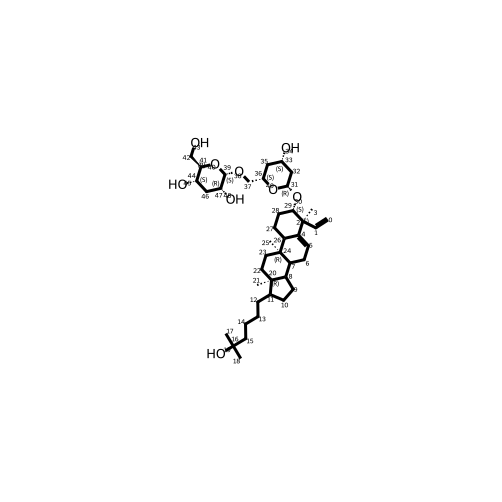 C=C[C@@]1(C)C2=CCC3C4CCC(CCCCC(C)(C)O)[C@@]4(C)CC[C@@]3(C)C2CC[C@@H]1O[C@H]1C[C@@H](O)C[C@@H](CO[C@H]2O[C@H](CO)[C@@H](O)C[C@H]2O)O1